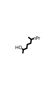 CCCC(C)CCCC(C)O